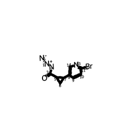 [N-]=[N+]=NC(=O)C1CC1c1ccc(Br)nc1